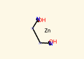 Oc1ccc(CCCCCCCC/C=C\CCCCCCCCCCCCCCCCC/C=C\CCCCCCCCc2ccc(O)c3ncccc23)c2cccnc12.[Zn]